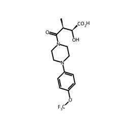 C[C@H](C(=O)N1CCN(c2ccc(OC(F)(F)F)cc2)CC1)[C@H](O)C(=O)O